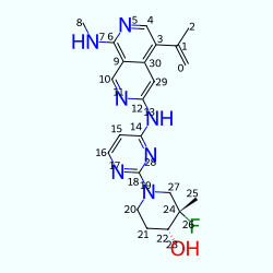 C=C(C)c1cnc(NC)c2cnc(Nc3ccnc(N4CC[C@@H](O)[C@@](C)(F)C4)n3)cc12